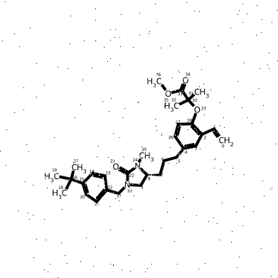 C=Cc1cc(CCC[C@H]2CN(Cc3ccc(C(C)(C)C)cc3)C(=O)N2C)ccc1OC(C)(C)C(=O)OC